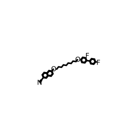 N#Cc1ccc2cc(OCCCCCCCCCOc3ccc(-c4ccc(F)cc4)c(F)c3)ccc2c1